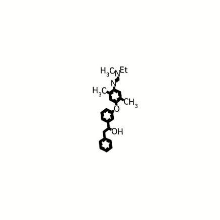 CCN(C)C=Nc1cc(C)c(Oc2cccc(C(O)Cc3ccccc3)c2)cc1C